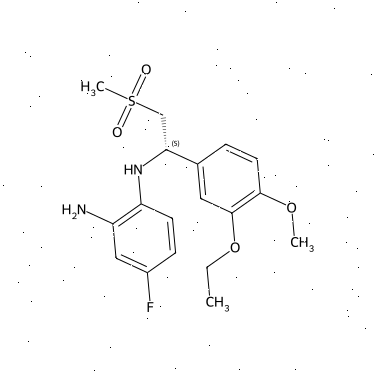 CCOc1cc([C@@H](CS(C)(=O)=O)Nc2ccc(F)cc2N)ccc1OC